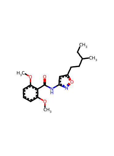 CCC(C)CCc1cc(NC(=O)c2c(OC)cccc2OC)no1